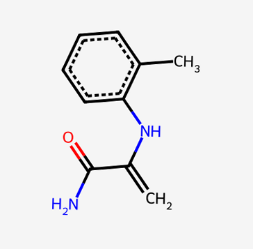 C=C(Nc1ccccc1C)C(N)=O